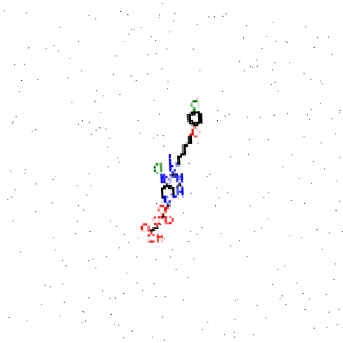 N#CN=C(NCCCCCCOc1ccc(Cl)cc1)Nc1cc[n+](COC(=O)OCC(=O)O)cc1.[Cl-]